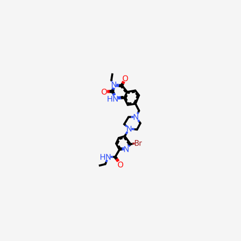 CCNC(=O)c1ccc(N2CCN(Cc3ccc4c(=O)n(CC)c(=O)[nH]c4c3)CC2)c(Br)n1